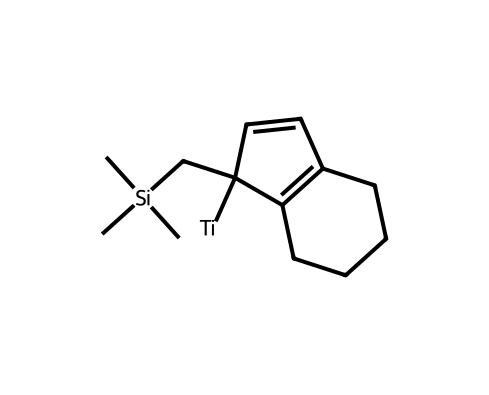 C[Si](C)(C)C[C]1([Ti])C=CC2=C1CCCC2